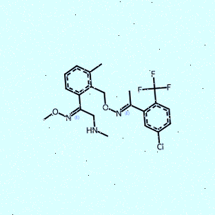 CNC/C(=N/OC)c1cccc(C)c1CO/N=C(\C)c1cc(Cl)ccc1C(F)(F)F